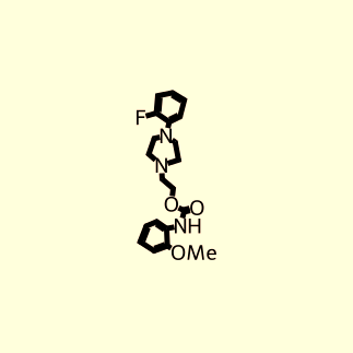 COc1ccccc1NC(=O)OCCN1CCN(c2ccccc2F)CC1